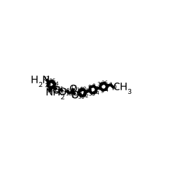 CCCC1CCC(C2CCC(c3ccc(OC(=O)CCOCOc4ccc(N)cc4N)cc3)CC2)CC1